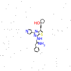 N[C@H](CNc1nc(-c2ccncc2)nc2c(C#CC3(O)CCCC3)csc12)Cc1ccccc1